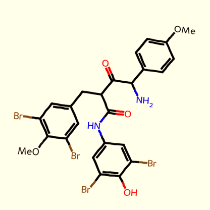 COc1ccc(C(N)C(=O)C(Cc2cc(Br)c(OC)c(Br)c2)C(=O)Nc2cc(Br)c(O)c(Br)c2)cc1